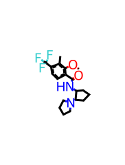 COc1c(C(=O)NC2CCCC2N2CCCC2)ccc(C(F)(F)F)c1C